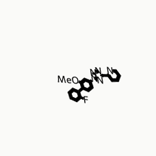 COc1cc(-n2nnc(-c3ccccn3)n2)ccc1-c1ccccc1F